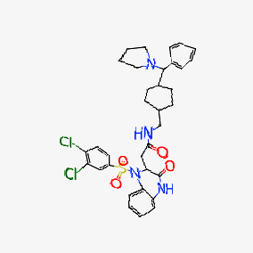 O=C(CC1C(=O)Nc2ccccc2N1S(=O)(=O)c1ccc(Cl)c(Cl)c1)NCC1CCC(C(c2ccccc2)N2CCCC2)CC1